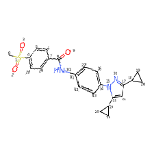 CS(=O)(=O)c1ccc(C(=O)Nc2ccc(-n3nc(C4CC4)cc3C3CC3)cc2)cc1